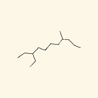 CCCC(C)[CH]CCCC(CC)CC